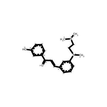 CN(C)CCN(C)c1cccc(C=CC(=O)c2cccc(O)c2)c1